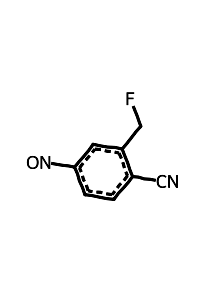 N#Cc1ccc(N=O)cc1CF